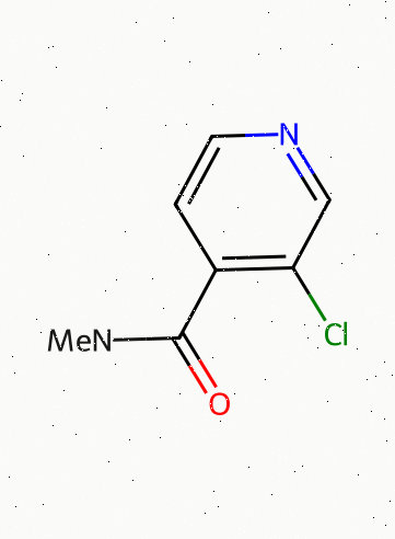 CNC(=O)c1ccncc1Cl